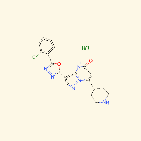 Cl.O=c1cc(C2CCNCC2)n2ncc(-c3nnc(-c4ccccc4Cl)o3)c2[nH]1